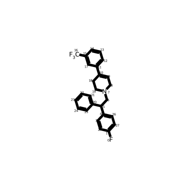 Fc1ccc(C(CN2CC=C(c3cccc(C(F)(F)F)c3)CC2)c2ccccc2)cc1